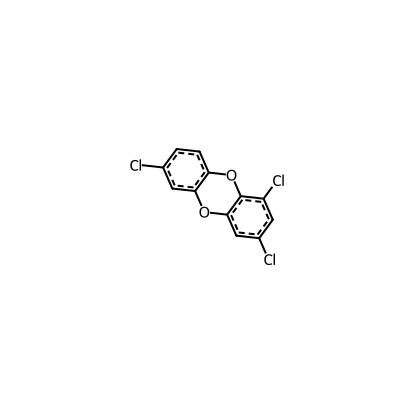 Clc1ccc2c(c1)Oc1cc(Cl)cc(Cl)c1O2